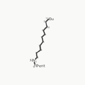 CCCCCNCCCCCCCCCCC(C)CC